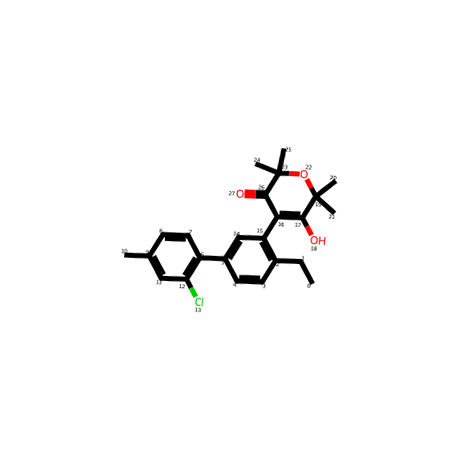 CCc1ccc(-c2ccc(C)cc2Cl)cc1C1=C(O)C(C)(C)OC(C)(C)C1=O